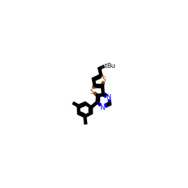 Cc1cc(C)cc(-c2ncnc3c2sc2cc(CC(C)(C)C)sc23)c1